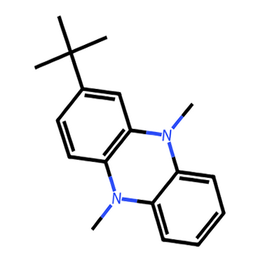 CN1c2ccccc2N(C)c2cc(C(C)(C)C)ccc21